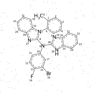 Cc1ccccc1-n1c(N(c2ccc(F)c(Br)c2)c2nc3ccccc3[nH]2)nc2ccccc21